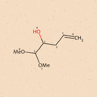 C=CCC(O)C(OC)OC